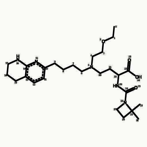 CCOCCN(CCCCc1ccc2c(n1)NCCC2)CCC(NC(=O)N1CCC1(C)C)C(=O)O